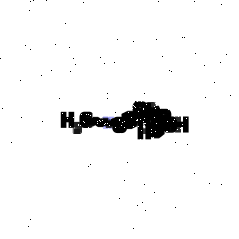 CCCC/C=C/COc1ccc(C(=O)Nc2sccc2-c2ccccc2C(=O)O)cc1